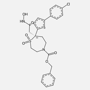 O=C(C[C@]1(c2ccc(-c3ccc(Cl)cc3)s2)CCN(C(=O)OCc2ccccc2)CCS1(=O)=O)NO